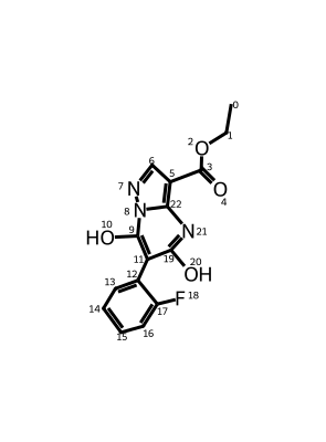 CCOC(=O)c1cnn2c(O)c(-c3ccccc3F)c(O)nc12